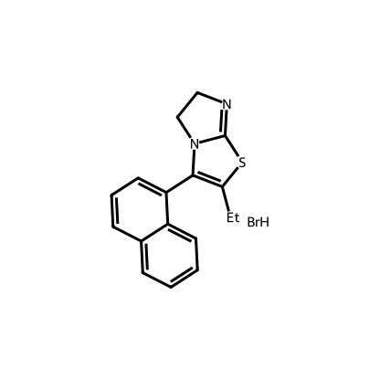 Br.CCC1=C(c2cccc3ccccc23)N2CCN=C2S1